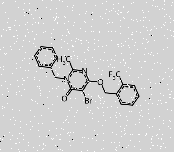 Cc1nc(OCc2ccccc2C(F)(F)F)c(Br)c(=O)n1Cc1ccccc1